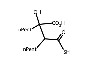 CCCCCC(C(=O)S)C(O)(CCCCC)C(=O)O